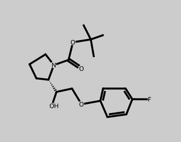 CC(C)(C)OC(=O)N1CCC[C@H]1C(O)COc1ccc(F)cc1